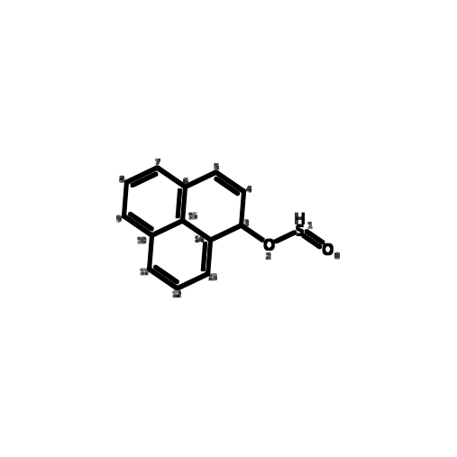 O=[SH]OC1C=Cc2cccc3cccc1c23